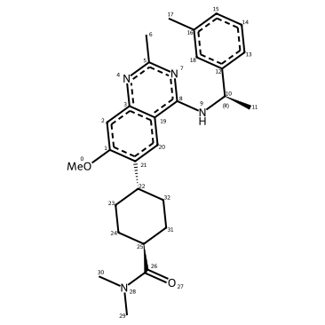 COc1cc2nc(C)nc(N[C@H](C)c3cccc(C)c3)c2cc1[C@H]1CC[C@H](C(=O)N(C)C)CC1